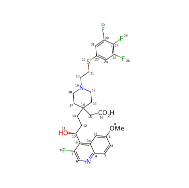 COc1ccc2ncc(F)c([C@@H](O)CCC3(CC(=O)O)CCN(CCSc4cc(F)c(F)c(F)c4)CC3)c2c1